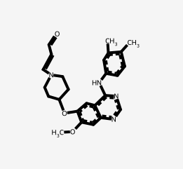 COc1cc2ncnc(Nc3ccc(C)c(C)c3)c2cc1OC1CCN(C=CC=O)CC1